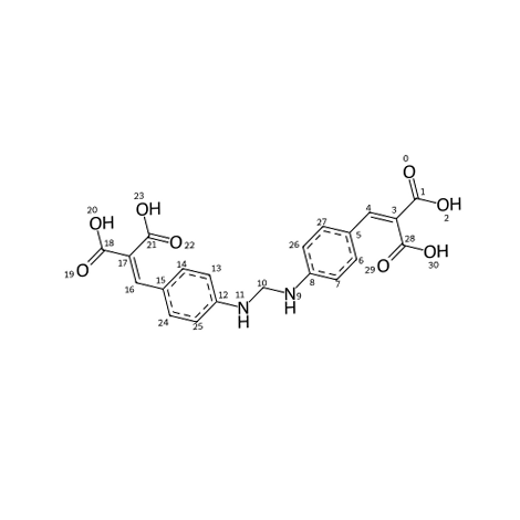 O=C(O)C(=Cc1ccc(NCNc2ccc(C=C(C(=O)O)C(=O)O)cc2)cc1)C(=O)O